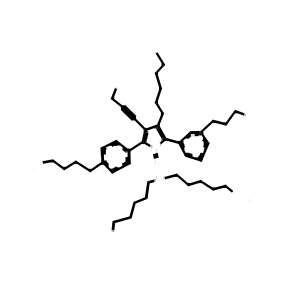 CCC#CC1=C(c2ccc(CCCCC)cc2)[N+](=[N-])C(c2cccc(CCCC)c2)=C1CCCCCC.CCCCC[CH2][Ni][CH2]CCCCC